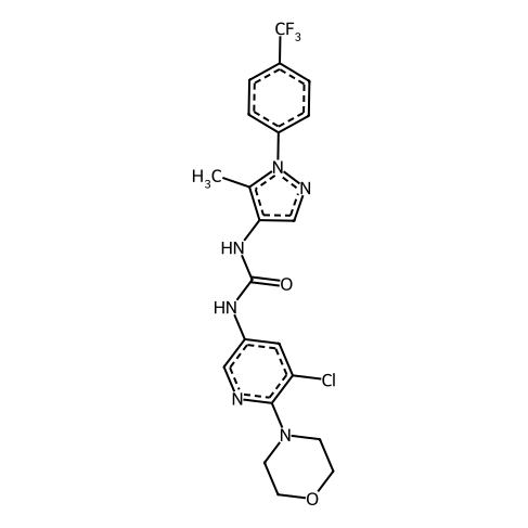 Cc1c(NC(=O)Nc2cnc(N3CCOCC3)c(Cl)c2)cnn1-c1ccc(C(F)(F)F)cc1